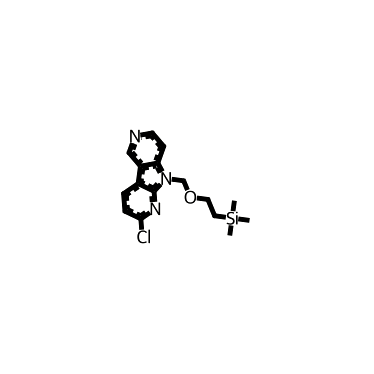 C[Si](C)(C)CCOCn1c2ccncc2c2ccc(Cl)nc21